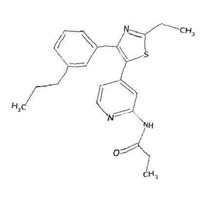 CCCc1cccc(-c2nc(CC)sc2-c2ccnc(NC(=O)CC)c2)c1